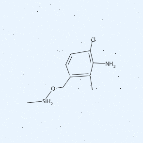 C[SiH2]OCc1ccc(Cl)c(N)c1C